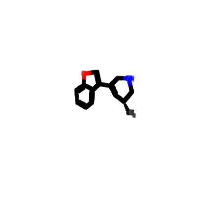 C[C@@H]1C=C(c2coc3ccccc23)CNC1